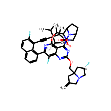 C=C1CN2C[C@@H](F)CC2(COc2nc3c4c(nc(-c5cccc6ccc(F)c(C#C[Si](C(C)C)(C(C)C)C(C)C)c56)c(F)c4n2)OC(C)C2C4CCC(CN32)N4C(=O)O)C1